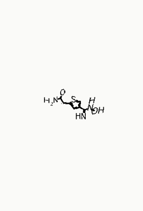 N=C(NO)c1csc([CH]C(N)=O)c1